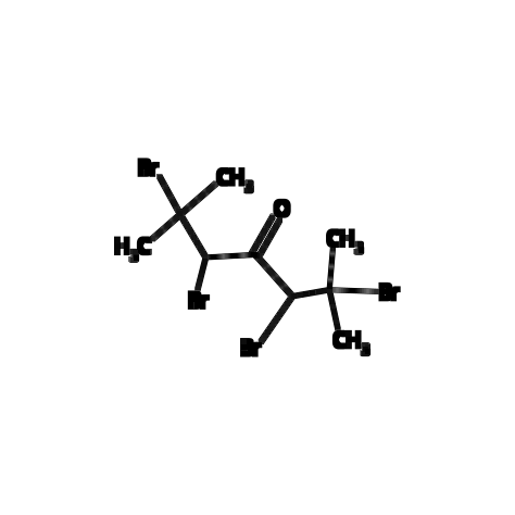 CC(C)(Br)C(Br)C(=O)C(Br)C(C)(C)Br